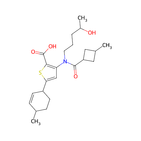 CC(O)CCCN(C(=O)C1CC(C)C1)c1cc(C2C=CC(C)CC2)sc1C(=O)O